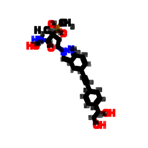 C[C@@](CCn1cc2cc(C#Cc3ccc([C@H](O)CO)cc3)ccc2n1)(C(=O)NO)S(C)(=O)=O